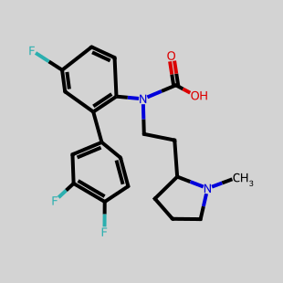 CN1CCCC1CCN(C(=O)O)c1ccc(F)cc1-c1ccc(F)c(F)c1